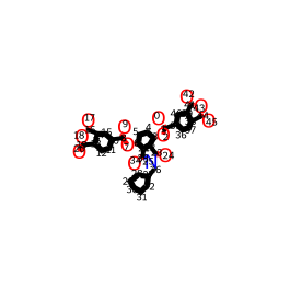 O=C(Oc1ccc(OC(=O)c2ccc3c(c2)C(=O)OC3=O)c2c1C(=O)N(Cc1ccccc1)C2=O)c1ccc2c(c1)C(=O)OC2=O